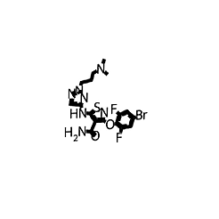 CN(C)CCCn1ncc(Nc2snc(Oc3c(F)cc(Br)cc3F)c2C(N)=O)n1